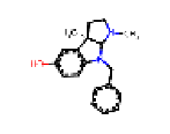 CN1CC[C@]2(C)c3cc(O)ccc3N(Cc3ccccc3)C12